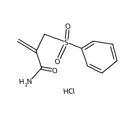 C=C(CS(=O)(=O)c1ccccc1)C(N)=O.Cl